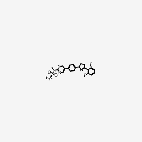 CN(c1ncc(-c2ccc(C3CCC(c4c(F)cccc4F)=N3)cc2)cn1)S(=O)(=O)C(F)(F)F